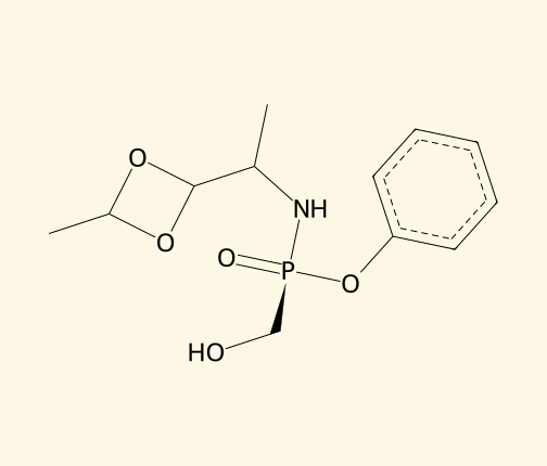 CC1OC(C(C)N[P@](=O)(CO)Oc2ccccc2)O1